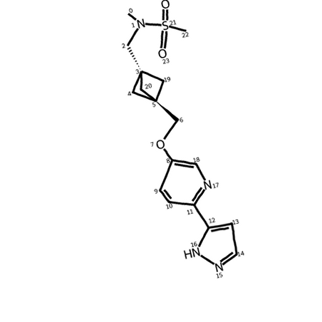 CN(C[C@]12C[C@@](COc3ccc(-c4ccn[nH]4)nc3)(C1)C2)S(C)(=O)=O